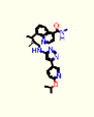 CNC(=O)c1ccnc2c(C(C)[C@H](C)CNc3cc(-c4ccc(OC(C)C)nc4)ncn3)cccc12